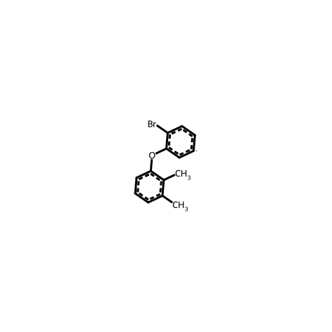 Cc1cccc(Oc2c[c]ccc2Br)c1C